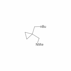 CCCCCC1(CNC)CC1